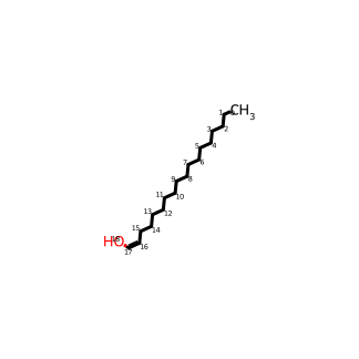 CCCCCCCCCCCCCCCC/C=C\O